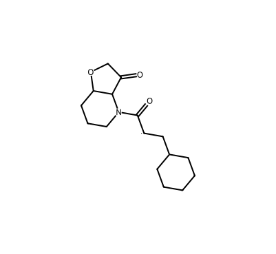 O=C1COC2CCCN(C(=O)[CH]CC3CCCCC3)C12